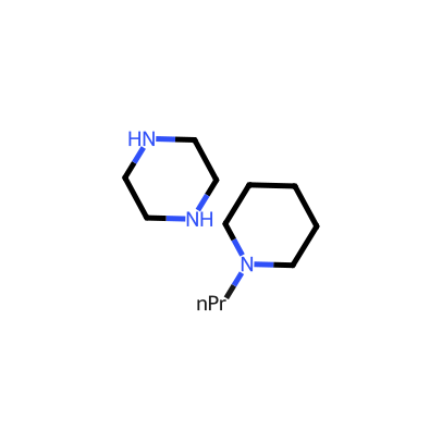 C1CNCCN1.CCCN1CCCCC1